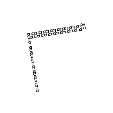 ClCCl.ClCCl.ClCCl.ClCCl.ClCCl.ClCCl.ClCCl.ClCCl.ClCCl.ClCCl.ClCCl.ClCCl.ClCCl.ClCCl.ClCCl.ClCCl.ClCCl.ClCCl.ClCCl.ClCCl.ClCCl.ClCCl.ClCCl.ClCCl.ClCCl.ClCCl.ClCCl.ClCCl.ClCCl.ClCCl.ClCCl.ClCCl.ClCCl.ClCCl.OCC(Cl)Cl